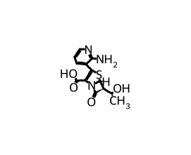 C[C@@H](O)[C@H]1C(=O)N2C(C(=O)O)=C(c3cccnc3N)S[C@H]12